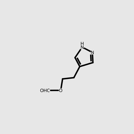 O=COCCc1cn[nH]c1